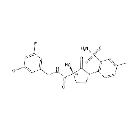 Cc1ccc(N2CC[C@](O)(C(=O)NCc3cc(F)cc(Cl)c3)C2=O)c(S(N)(=O)=O)c1